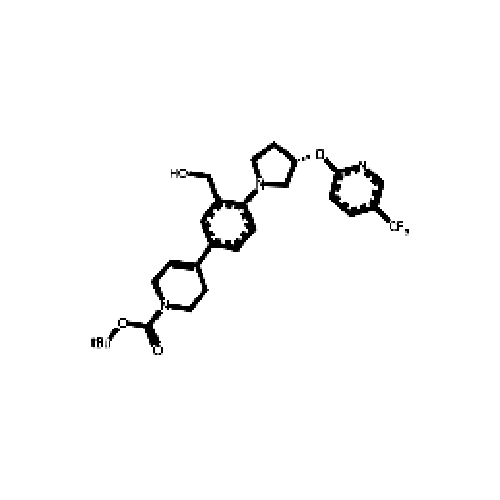 CC(C)(C)OC(=O)N1CC=C(c2ccc(N3CC[C@H](Oc4ccc(C(F)(F)F)cn4)C3)c(CO)c2)CC1